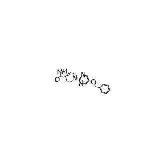 NC(=O)C1CCN(c2ncc(OCc3ccccc3)cn2)CC1